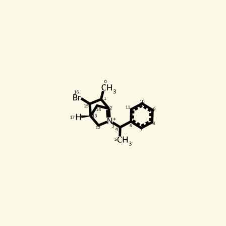 CC1C2=[N+](C(C)c3ccccc3)C[C@@H](C2)C1Br